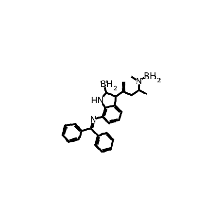 BC1Nc2c(N=C(c3ccccc3)c3ccccc3)cccc2C1C(=C)CC(C)N(B)C